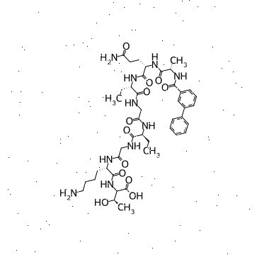 CC[C@H](NC(=O)CNC(=O)[C@H](CC)NC(=O)[C@H](CCC(N)=O)NC(=O)[C@H](C)NC(=O)c1cccc(-c2ccccc2)c1)C(=O)NCC(=O)N[C@@H](CCCCN)C(=O)NC(C(=O)O)[C@@H](C)O